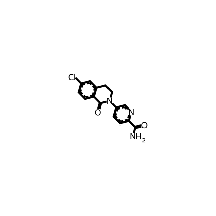 NC(=O)c1[c]cc(N2CCc3cc(Cl)ccc3C2=O)cn1